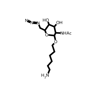 CC(=O)NC1C(OCCCCCCN)OC(CN=[N+]=[N-])C(O)C1O